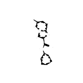 CC(=O)c1ccc2nc(C(=O)Nc3ccccc3)cn2c1